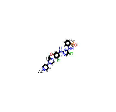 CC(=O)N1CCC(N2CCN3c4c(Cl)cc(Nc5ncc(Cl)c(Nc6ccccc6P(C)(C)=O)n5)cc4OC[C@H]3C2)CC1